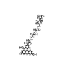 C=C(NC(C=O)CCC(=O)NCCNC(=O)CCCNC(=S)Nc1ccc(-c2c3ccc(=O)cc-3oc3cc(O)ccc23)c(CO)c1)NC(CCC)OO